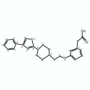 O=C(O)Cc1cccc(OCCC2CCN(c3nc(-c4ccccc4)cs3)CC2)c1